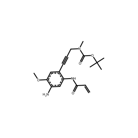 C=CC(=O)Nc1cc(N)c(OC)cc1C#CCN(C)C(=O)OC(C)(C)C